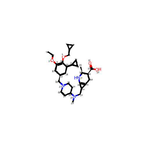 CCOC1=C(OCC2CC2)C(C2CC2)C[C@@H](CN2CCC(N(C)CC3C4=C3N[C@@H](C)[C@@H](C(=O)O)C4)CC2)C1